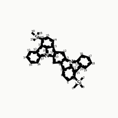 C[Si](C)(C)c1ccc2c3cc4c(cc3n3c5ccccc5c1c23)c1ccc([Si](C)(C)C)c2c3ccccc3n4c12